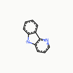 c1ccc2c(c1)[N]c1cccnc1-2